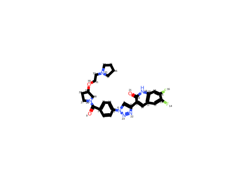 O=C(c1ccc(-n2cc(-c3cc4cc(F)c(F)cc4[nH]c3=O)nn2)cc1)N1CCC(OCCN2CCCC2)C1